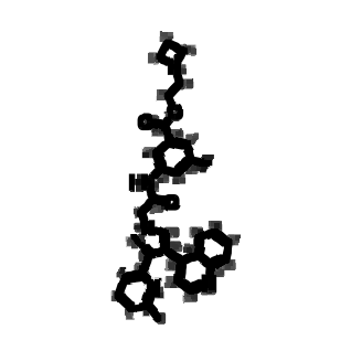 Cc1cccc(-c2nn(CC(=O)Nc3cc(F)cc(C(=O)OCCN4CCC4)c3)cc2-c2ccnc3ccccc23)n1